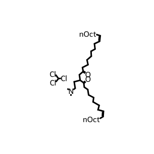 CCCCCCCC/C=C\CCCCCCCC(=O)CC(CCN(C)C)C(=O)CCCCCCC/C=C\CCCCCCCC.ClC(Cl)Cl